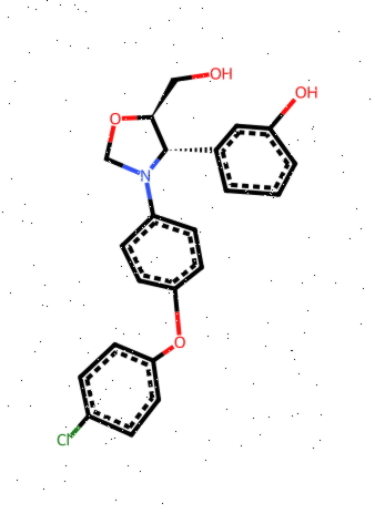 OC[C@@H]1OCN(c2ccc(Oc3ccc(Cl)cc3)cc2)[C@H]1c1cccc(O)c1